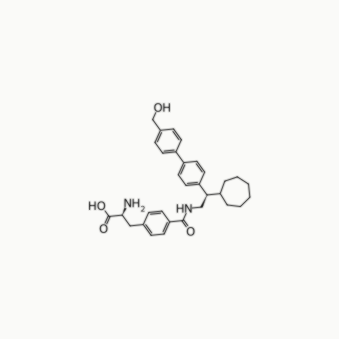 N[C@@H](Cc1ccc(C(=O)NC[C@@H](c2ccc(-c3ccc(CO)cc3)cc2)C2CCCCCC2)cc1)C(=O)O